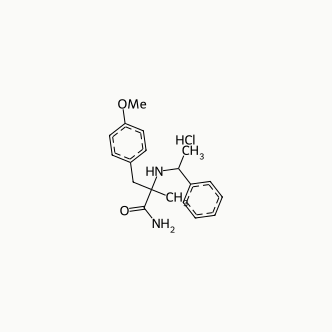 COc1ccc(CC(C)(NC(C)c2ccccc2)C(N)=O)cc1.Cl